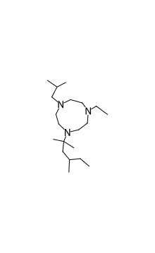 CCC(C)CC(C)(C)N1CCN(CC)CCN(CC(C)C)CC1